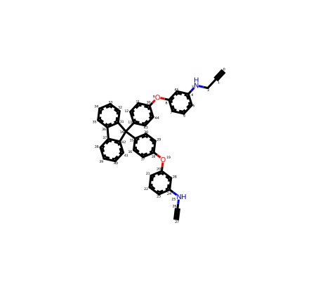 C#CCNc1cccc(Oc2ccc(C3(c4ccc(Oc5cccc(NC#C)c5)cc4)c4ccccc4-c4ccccc43)cc2)c1